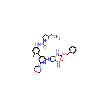 Cc1ccc(NC(=O)N2CC[C@@H](CC(F)(F)F)C2)cc1-c1cc(N2CCOCC2)nc(N2C[C@H](NC(=O)OCc3ccccc3)[C@@H](O)C2)c1